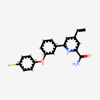 C=Cc1cc(C(N)=O)nc(-c2cccc(Oc3ccc(F)cc3)c2)c1